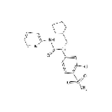 CS(=O)(=O)c1ccc([C@@H](CC2CCCC2)C(=O)Nc2ccccn2)cc1Cl